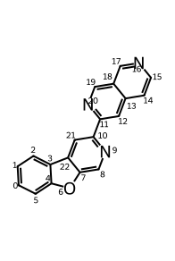 c1ccc2c(c1)oc1cnc(-c3cc4ccncc4cn3)cc12